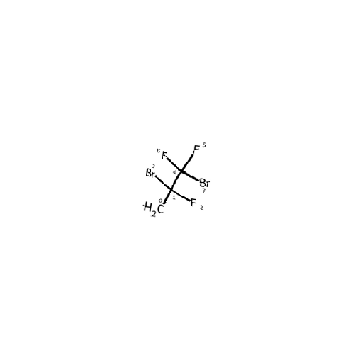 [CH2]C(F)(Br)C(F)(F)Br